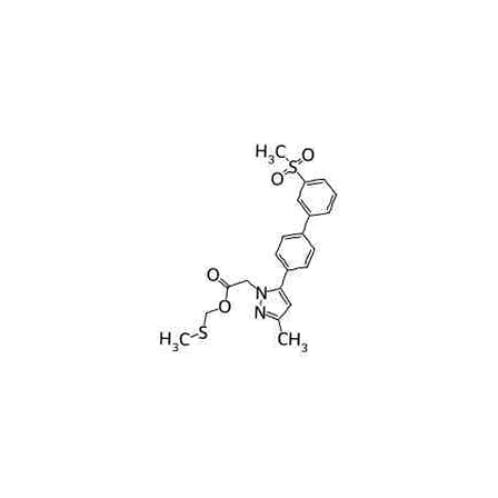 CSCOC(=O)Cn1nc(C)cc1-c1ccc(-c2cccc(S(C)(=O)=O)c2)cc1